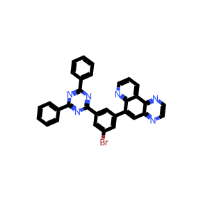 Brc1cc(-c2nc(-c3ccccc3)nc(-c3ccccc3)n2)cc(-c2cc3nccnc3c3cccnc23)c1